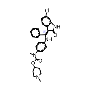 CN1CCC(OC(=O)N(C)c2ccc(N/C(=C3\C(=O)Nc4cc(Cl)ccc43)c3ccccc3)cc2)CC1